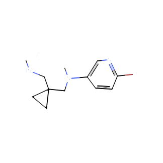 O=CN(CC1(CNC(=O)O)CC1)c1ccc(Br)nc1